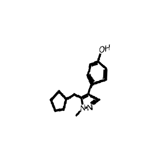 Cn1ncc(-c2ccc(O)cc2)c1C[C]1CCCC1